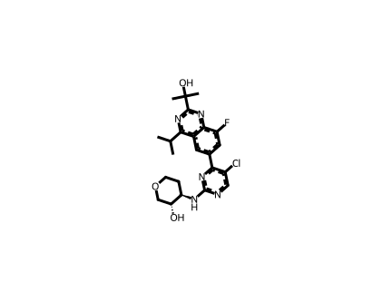 CC(C)c1nc(C(C)(C)O)nc2c(F)cc(-c3nc(N[C@@H]4CCOC[C@H]4O)ncc3Cl)cc12